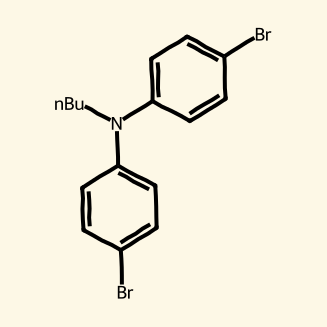 CCCCN(c1ccc(Br)cc1)c1ccc(Br)cc1